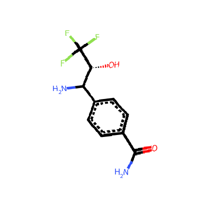 NC(=O)c1ccc(C(N)[C@@H](O)C(F)(F)F)cc1